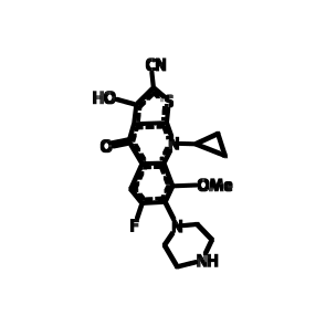 COc1c(N2CCNCC2)c(F)cc2c(=O)c3c(O)c(C#N)sc3n(C3CC3)c12